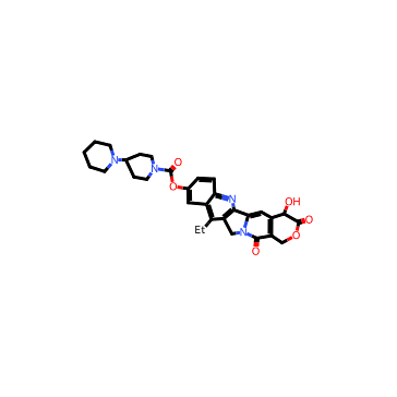 CCc1c2c(nc3ccc(OC(=O)N4CCC(N5CCCCC5)CC4)cc13)-c1cc3c(c(=O)n1C2)COC(=O)C3O